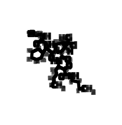 C=CCCNC(=O)C(=O)C(CCC=C)NC(=O)[C@@H]1[C@@H]2[C@H](CN1C(=O)[C@@H](NC(=O)NC(C)(C)C)C1CCCCC1)C2(Cl)Cl